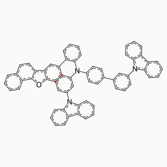 c1cc(-c2ccc(N(c3cccc(-n4c5ccccc5c5ccccc54)c3)c3ccccc3-c3ccc4oc5c6ccccc6ccc5c4c3)cc2)cc(-n2c3ccccc3c3ccccc32)c1